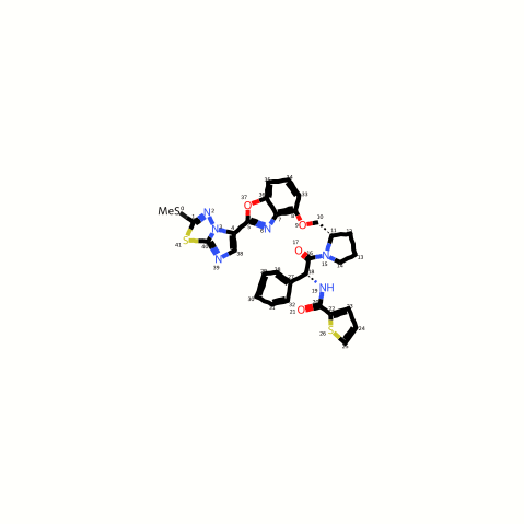 CSc1nn2c(-c3nc4c(OC[C@@H]5CCCN5C(=O)[C@H](NC(=O)c5cccs5)c5ccccc5)cccc4o3)cnc2s1